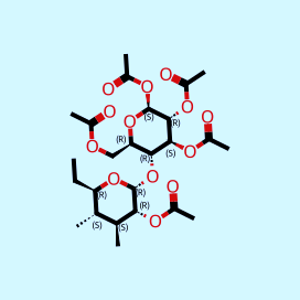 CC[C@H]1O[C@H](O[C@H]2[C@H](OC(C)=O)[C@@H](OC(C)=O)[C@H](OC(C)=O)O[C@@H]2COC(C)=O)[C@H](OC(C)=O)[C@@H](C)[C@@H]1C